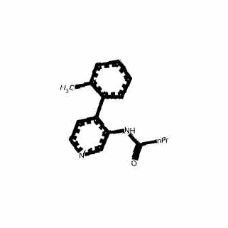 CCCC(=O)Nc1cnccc1-c1ccccc1C